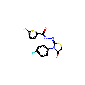 O=C(N/N=C1/SCC(=O)N1c1ccc(F)cc1)c1ccc(Cl)s1